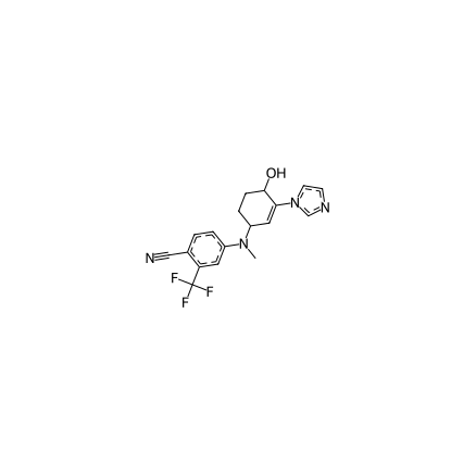 CN(c1ccc(C#N)c(C(F)(F)F)c1)C1C=C(n2ccnc2)C(O)CC1